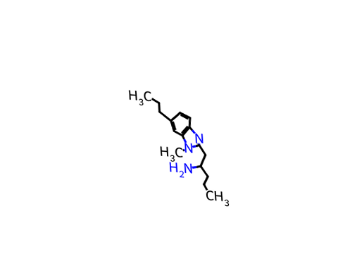 CCCc1ccc2nc(CC(N)CCC)n(C)c2c1